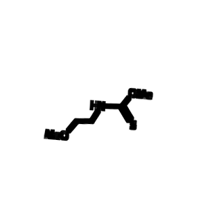 COCCNC(=S)OC